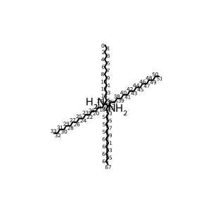 CCCCCCCCCCCCCCCCC(N)(CCCCCCCCCCCCCCCC)C(N)(CCCCCCCCCCCCCCCC)CCCCCCCCCCCCCCCC